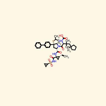 C=C[C@@H]1C[C@]1(NC(=O)[C@@H]1C[C@@](SC(C)C)(c2ccc(-c3ccccc3)cc2)CN1C(=O)[C@@H](NC(=O)O)C(C)(C)CC1(C)CCCC1)C(=O)NS(=O)(=O)C1CC1